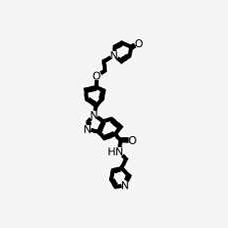 O=C(NCc1cccnc1)c1ccc2c(c1)ncn2-c1ccc(OCCn2ccc(=O)cc2)cc1